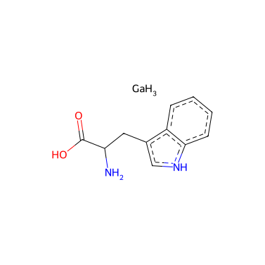 NC(Cc1c[nH]c2ccccc12)C(=O)O.[GaH3]